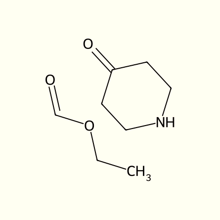 CCOC=O.O=C1CCNCC1